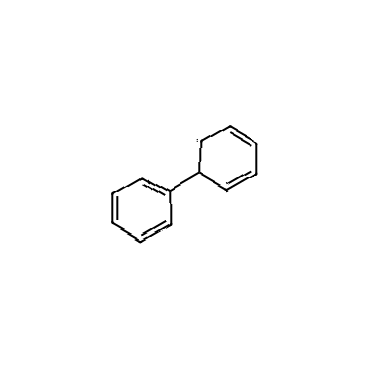 [C]1C=CC=CC1c1ccccc1